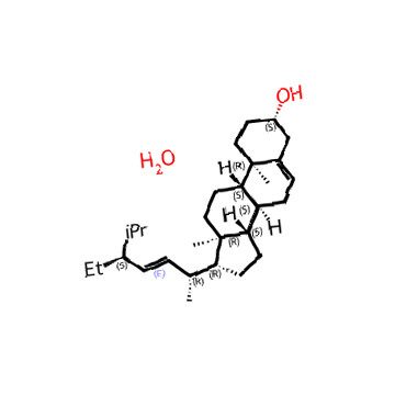 CC[C@H](/C=C/[C@@H](C)[C@H]1CC[C@H]2[C@@H]3CC=C4C[C@@H](O)CC[C@]4(C)[C@H]3CC[C@]12C)C(C)C.O